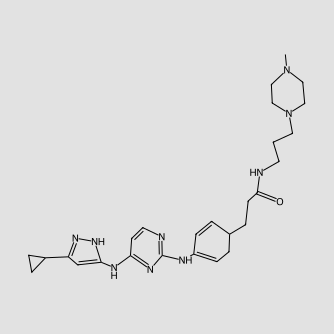 CN1CCN(CCCNC(=O)CCC2C=CC(Nc3nccc(Nc4cc(C5CC5)n[nH]4)n3)=CC2)CC1